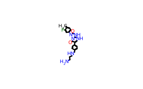 Cc1cc2oc(Nc3nc(=O)c(-c4ccc(CNCCCN)cc4)c[nH]3)nc2cc1F